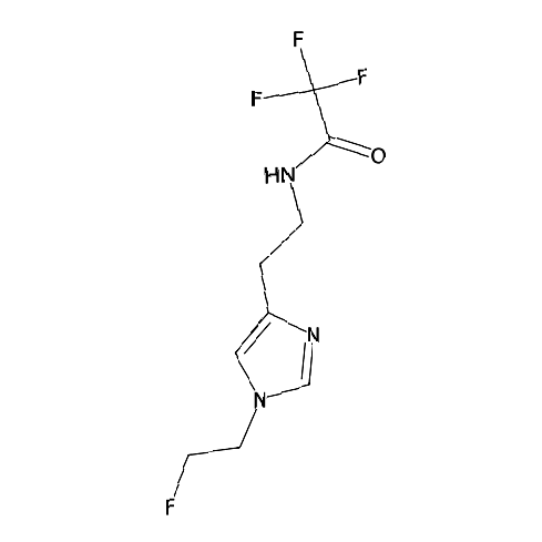 O=C(NCCc1cn(CCF)cn1)C(F)(F)F